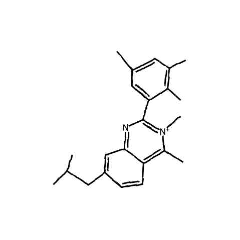 Cc1cc(C)c(C)c(-c2nc3cc(CC(C)C)ccc3c(C)[n+]2C)c1